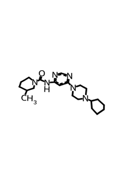 CC1CCCN(C(=O)Nc2cc(N3CCN(C4CCCCC4)CC3)ncn2)C1